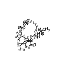 CS(=O)(=O)N[C@H]1CCCCCS(=O)(=O)NC(=O)c2ccc3c(c2)N(C[C@@H]2CC[C@@H]21)C[C@@]1(CCCc2cc(Cl)ccc21)CO3